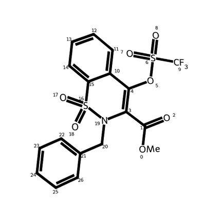 COC(=O)C1=C(OS(=O)(=O)C(F)(F)F)c2ccccc2S(=O)(=O)N1Cc1ccccc1